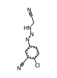 N#CCNN=Nc1ccc(Cl)c(C#N)c1